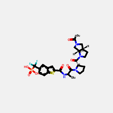 CCCCC(=O)N1C[C@@H]2CCN(C(=O)[C@@H]3CCCN3C(=O)C(NC(=O)c3cc4cc(C(F)(F)P(=O)(O)O)ccc4s3)C(C)(C)C)[C@@H]2C1